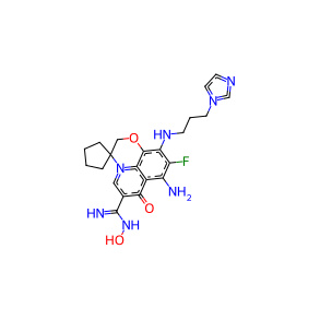 N=C(NO)c1cn2c3c(c(NCCCn4ccnc4)c(F)c(N)c3c1=O)OCC21CCCC1